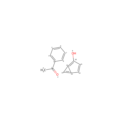 CC(=O)c1ccccc1.Oc1ccc2cc1-2